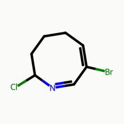 ClC1CCC/C=C(Br)\C=N/1